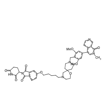 COc1cc(-c2cn(C)c(=O)c3cnccc23)cc(OC)c1CN1CCC2(CC1)CN(CCCCCOc1ccc3c(c1)C(=O)N(C1CCC(=O)NC1=O)C3=O)CCO2